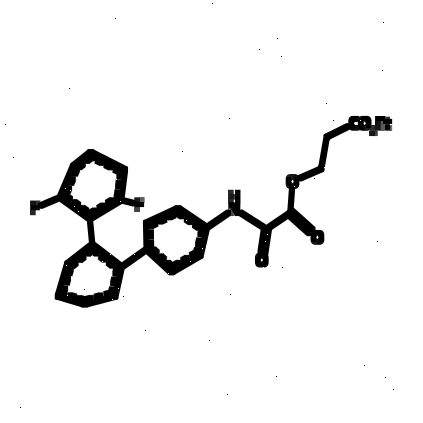 CCOC(=O)CCOC(=O)C(=O)Nc1ccc(-c2ccccc2-c2c(F)cccc2F)cc1